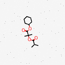 CC(C)C(=O)OC(C)(C)C(=O)OC1CCCCC1